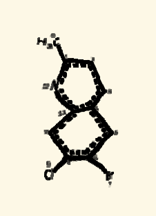 Cc1ccc2cc(Br)c(Cl)cc2n1